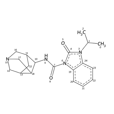 CC(C)n1c(=O)n(C(=O)NC2C3CC4CN(C3)CC42)c2ccccc21